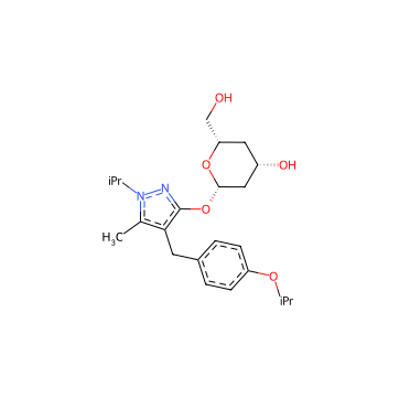 Cc1c(Cc2ccc(OC(C)C)cc2)c(O[C@H]2C[C@@H](O)C[C@@H](CO)O2)nn1C(C)C